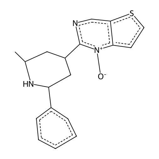 CC1CC(c2ncc3sccc3[n+]2[O-])CC(c2ccccc2)N1